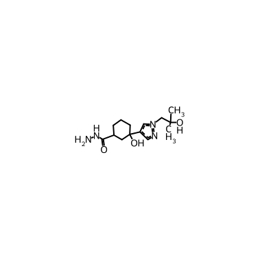 CC(C)(O)Cn1cc(C2(O)CCCC(C(=O)NN)C2)cn1